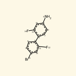 Nc1ccc(-c2ccc(Br)cc2F)c(F)c1